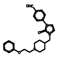 O=Cc1ccc(-n2ccn(CC3CCN(CCOc4ccccc4)CC3)c2=O)cc1